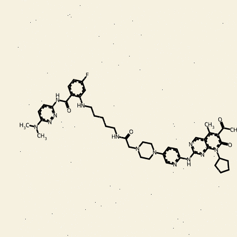 CC(=O)c1c(C)c2cnc(Nc3ccc(N4CCN(CC(=O)NCCCCCNc5cc(F)ccc5C(=O)Nc5ccc(N(C)C)nn5)CC4)cn3)nc2n(C2CCCC2)c1=O